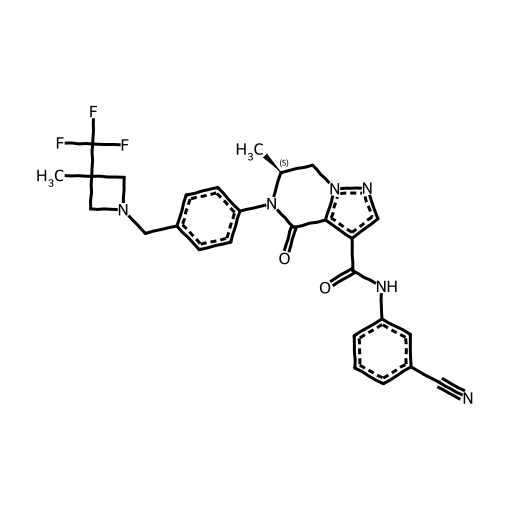 C[C@H]1Cn2ncc(C(=O)Nc3cccc(C#N)c3)c2C(=O)N1c1ccc(CN2CC(C)(C(F)(F)F)C2)cc1